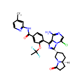 CC(F)(F)Oc1cc(C(=O)Nc2cc(C(F)(F)F)ccn2)ccc1-c1nc([C@@H]2CC[C@H]3CCC(=O)N3C2)n2c(Cl)cnc(N)c12